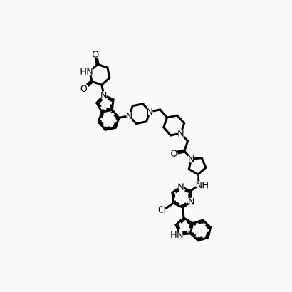 O=C1CCC(n2cc3cccc(N4CCN(CC5CCN(CC(=O)N6CC[C@@H](Nc7ncc(Cl)c(-c8c[nH]c9ccccc89)n7)C6)CC5)CC4)c3c2)C(=O)N1